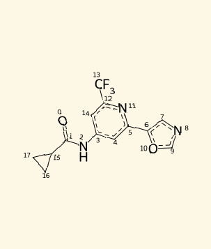 O=C(Nc1cc(-c2cnco2)nc(C(F)(F)F)c1)C1CC1